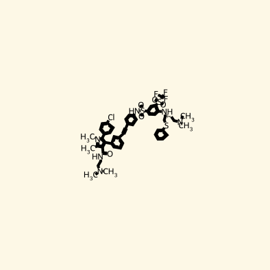 Cc1c(C(=O)NCCN(C)C)c(-c2cccc(C#Cc3ccc(NS(=O)(=O)c4ccc(N[C@H](CCN(C)C)CSc5ccccc5)c(S(=O)(=O)C(F)(F)F)c4)cc3)c2)c(-c2ccc(Cl)cc2)n1C